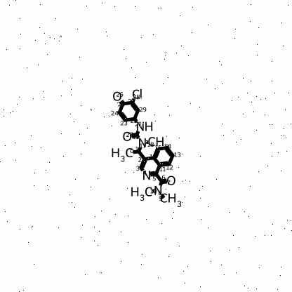 CC(c1cnc(C(=O)N(C)C)c2ccccc12)N(C)C(=O)NC1C=CC(=O)C(Cl)=C1